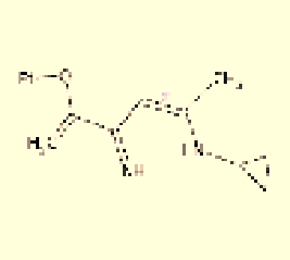 C=C(OCC)C(=N)/C=C(/C)NC1CC1